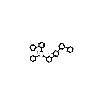 c1ccc(-c2nc(-c3cccc4c3oc3cc(-c5cccc6c5oc5ccccc56)ccc34)nc(-c3cccc4oc5ccccc5c34)n2)cc1